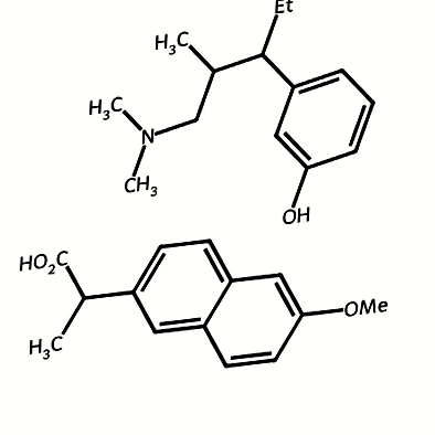 CCC(c1cccc(O)c1)C(C)CN(C)C.COc1ccc2cc(C(C)C(=O)O)ccc2c1